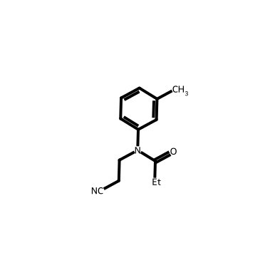 CCC(=O)N(CCC#N)c1cccc(C)c1